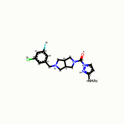 CC(=O)Nc1ccn(C(=O)N2CC3CN(Cc4cc(F)cc(Cl)c4)CC3C2)n1